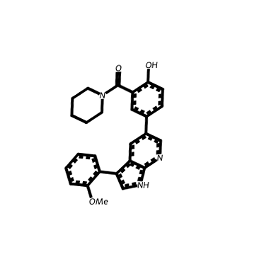 COc1ccccc1-c1c[nH]c2ncc(-c3ccc(O)c(C(=O)N4CCCCC4)c3)cc12